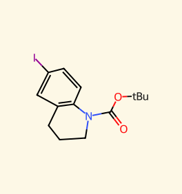 CC(C)(C)OC(=O)N1CCCc2cc(I)ccc21